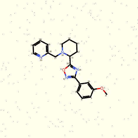 COc1cccc(-c2noc(C3CCCCN3Cc3ccccn3)n2)c1